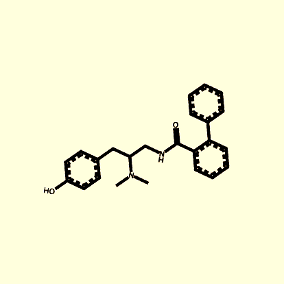 CN(C)C(CNC(=O)c1ccccc1-c1ccccc1)Cc1ccc(O)cc1